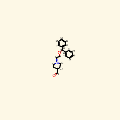 O=CC1CCN(CCOC(c2ccccc2)c2ccccc2)CC1